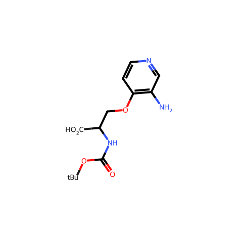 CC(C)(C)OC(=O)NC(COc1ccncc1N)C(=O)O